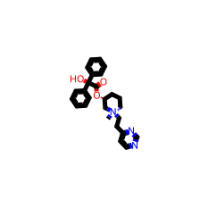 C[N+]1(CCc2ccncn2)CCC[C@@H](OC(=O)C(O)(c2ccccc2)c2ccccc2)C1